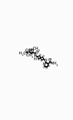 Cn1nc(C(C)(C)C)cc1C(=O)NC1CC2(C1)CC(Oc1ncccc1C(N)=O)C2